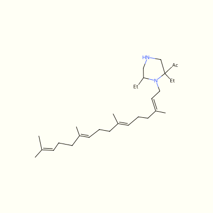 CCC1CNCC(CC)(C(C)=O)N1C/C=C(\C)CC/C=C(\C)CC/C=C(\C)CCC=C(C)C